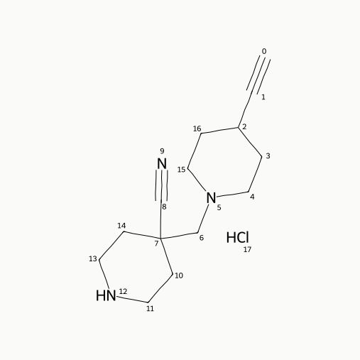 C#CC1CCN(CC2(C#N)CCNCC2)CC1.Cl